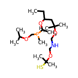 CCC(CC(C)(C)OCNCOC(C)(C)S)OC(C)P(C)COC(C)C